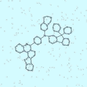 c1ccc(C2(c3ccccc3)c3ccccc3-c3ccc(N(c4ccc(-c5nc6ccccc6c6c5ccc5c7ccccc7sc56)cc4)c4ccc5ccccc5c4)cc32)cc1